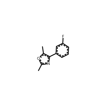 Cc1nc(-c2cccc(F)c2)c(C)o1